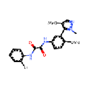 CCc1ccccc1NC(=O)C(=O)Nc1ccc(OC)c(-c2c(OC)cnn2C)c1